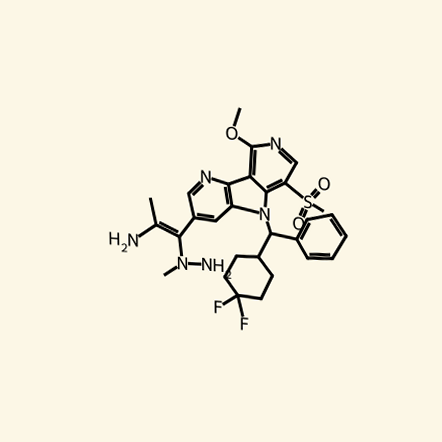 COc1ncc(S(C)(=O)=O)c2c1c1ncc(/C(=C(\C)N)N(C)N)cc1n2C(c1ccccc1)C1CCC(F)(F)CC1